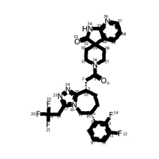 O=C(C[C@@H]1CC[C@H](c2cccc(F)c2F)Cn2c(CC(F)(F)F)nnc21)N1CCC2(CC1)C(=O)Nc1ncccc12